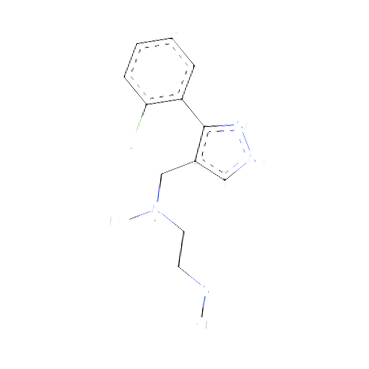 CNCCN(C)Cc1cn[nH]c1-c1ccccc1F